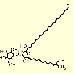 CCCCCCCCCCCCCCCCCCCC[C@@H](O)C(=O)N[C@@H](CO[C@@H]1O[C@H](CO)[C@@H](O)[C@H](O)[C@H]1O)[C@H](O)/C=C/CCCCCCCCC(C)CC